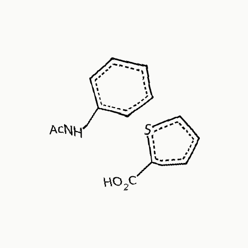 CC(=O)Nc1ccccc1.O=C(O)c1cccs1